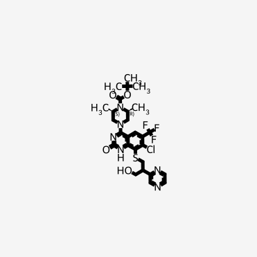 C[C@@H]1CN(c2nc(=O)[nH]c3c(SCC(CO)c4cnccn4)c(Cl)c(C(F)(F)F)cc23)C[C@H](C)N1C(=O)OC(C)(C)C